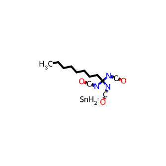 CCCCCCCCC(N=C=O)(N=C=O)N=C=O.[SnH2]